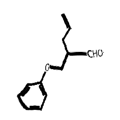 C=CCC([C]=O)COc1ccccc1